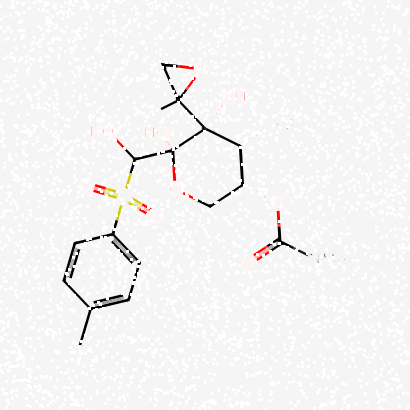 CNC(=O)O[C@@H]1CO[C@@](O)(C(O)S(=O)(=O)c2ccc(C)cc2)[C@@](O)(C2(C)CO2)[C@@H]1OC